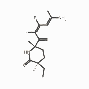 C=C(/C(F)=C(F)\C=C(/C)N)[C@]1(C)CC[C@@](F)(CF)C(=S)N1